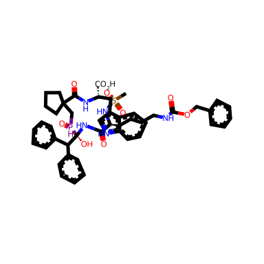 CS(=O)(=O)N[C@@H](CCCCNC(=O)OCc1ccccc1)C(=O)N[C@@](O)(C(c1ccccc1)c1ccccc1)[PH](=O)CC1(C(=O)N[C@@H](Cc2c[nH]c3ccccc23)C(=O)O)CCCC1